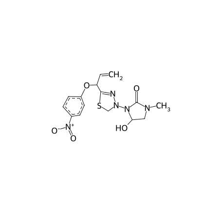 C=CC(Oc1ccc([N+](=O)[O-])cc1)C1=NN(N2C(=O)N(C)CC2O)CS1